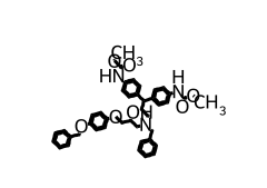 COC(=O)Nc1ccc(C(CCN(Cc2ccccc2)CC(O)COc2ccc(OCc3ccccc3)cc2)c2ccc(NC(=O)OC)cc2)cc1